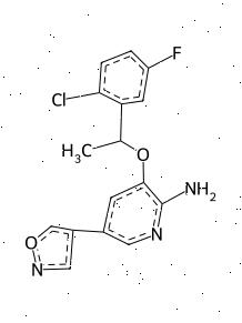 CC(Oc1cc(-c2cnoc2)cnc1N)c1cc(F)ccc1Cl